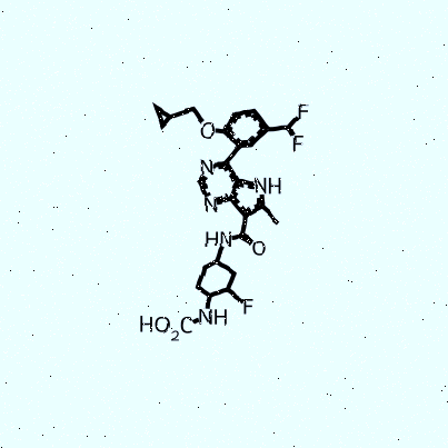 Cc1[nH]c2c(-c3cc(C(F)F)ccc3OCC3CC3)ncnc2c1C(=O)NC1CCC(NC(=O)O)C(F)C1